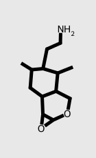 CC1CC2C(COC3OC32)C(C)C1CCN